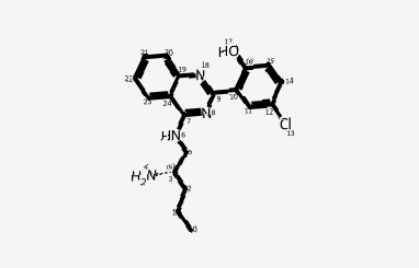 CCC[C@H](N)CNc1nc(-c2cc(Cl)ccc2O)nc2ccccc12